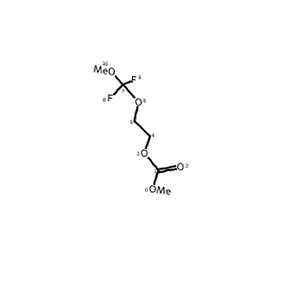 COC(=O)OCCOC(F)(F)OC